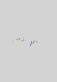 CNc1nn(C(=O)OC(C)(C)C)c2ccc(-c3ccn(C(CO[Si](C)(C)C(C)(C)C)c4cccc(Cl)c4)c(=O)c3)cc12